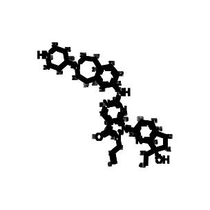 C=CCn1c(=O)c2cnc(Nc3ccc4c(c3)CCN(C3CCNCC3)CC4)nc2n1-c1ccc2c(n1)[C@@](O)(CC)CC2